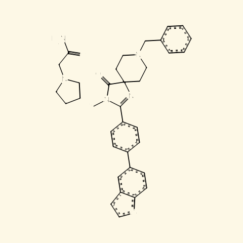 NC(=O)CN1CC[C@@H](CN2C(=O)C3(CCN(Cc4ccccc4)CC3)N=C2c2ccc(-c3ccc4occc4c3)cc2)C1